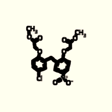 COC(=O)COc1ccc(Cl)cc1Cc1cc([N+](=O)[O-])ccc1OCC(=O)OC